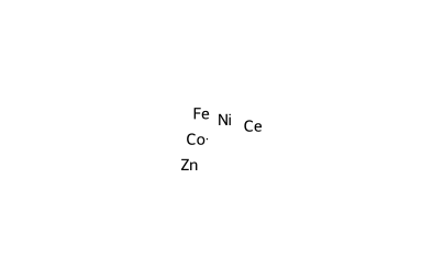 [Ce].[Co].[Fe].[Ni].[Zn]